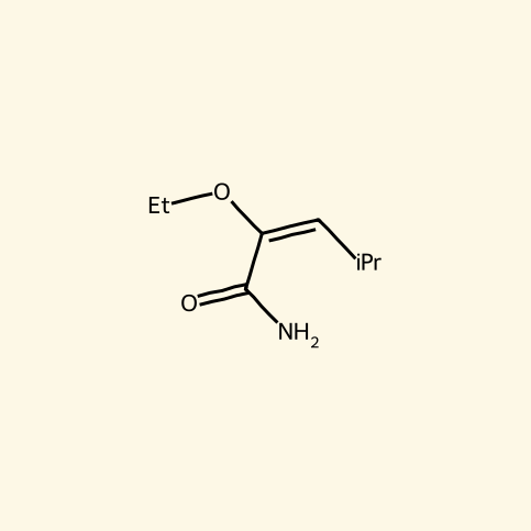 CCOC(=CC(C)C)C(N)=O